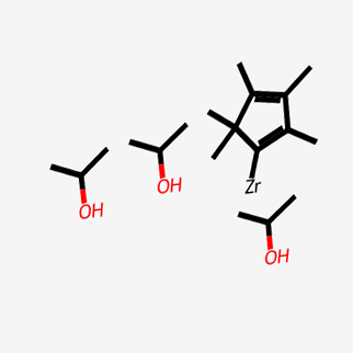 CC(C)O.CC(C)O.CC(C)O.CC1=C(C)C(C)(C)[C]([Zr])=C1C